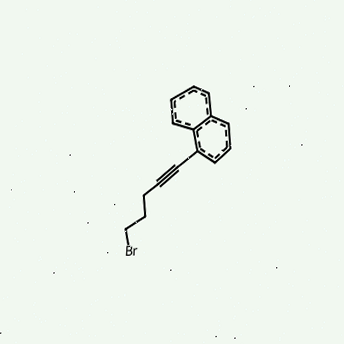 BrCCCC#Cc1cccc2ccccc12